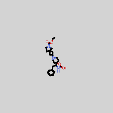 CCOC(=O)N1CCC2(CC(N3CCC4(CC3)OC(O)NC4Cc3ccccc3)C2)C1